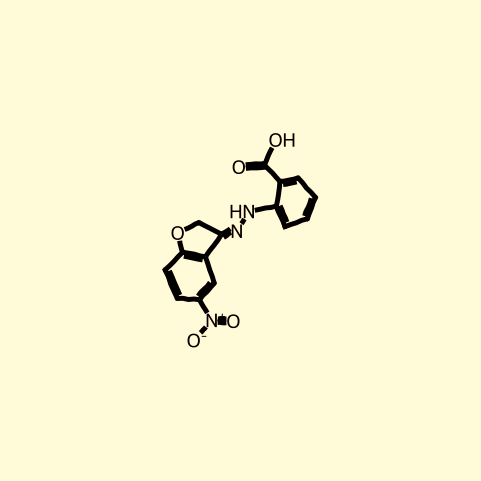 O=C(O)c1ccccc1NN=C1COc2ccc([N+](=O)[O-])cc21